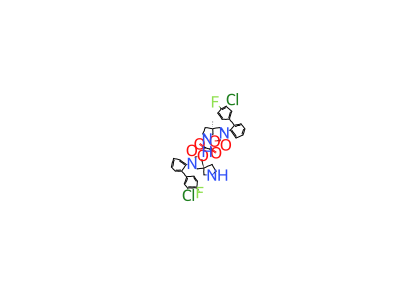 C[C@@]1(CN(C(=O)OC(=O)C(=O)OC(=O)N(C[C@]2(C)CCNC2)c2ccccc2-c2ccc(F)c(Cl)c2)c2ccccc2-c2ccc(F)c(Cl)c2)CCNC1